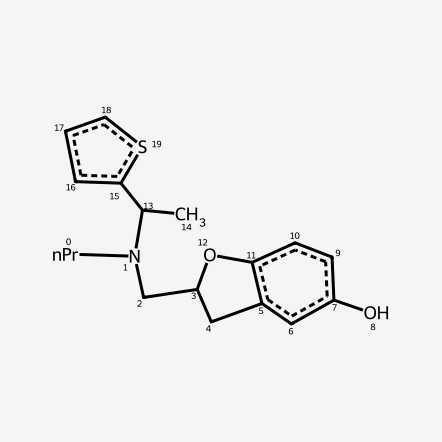 CCCN(CC1Cc2cc(O)ccc2O1)C(C)c1cccs1